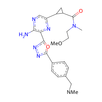 CNCc1ccc(-c2nnc(-c3nc(C4CC4C(=O)N(C)CCOC)cnc3N)o2)cc1